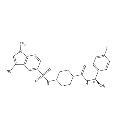 C[C@@H](NC(=O)C1CCC(NS(=O)(=O)c2ccc3c(c2)c(C#N)cn3C)CC1)c1ccc(F)cc1